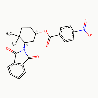 CC1(C)CC[C@H](OC(=O)c2ccc([N+](=O)[O-])cc2)C[C@H]1N1C(=O)c2ccccc2C1=O